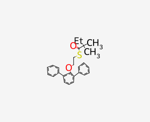 CCC(C)(C)C(=O)SCCOc1c(-c2ccccc2)cccc1-c1ccccc1